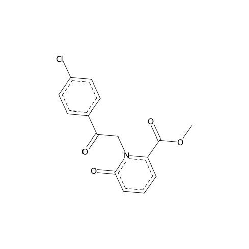 COC(=O)c1cccc(=O)n1CC(=O)c1ccc(Cl)cc1